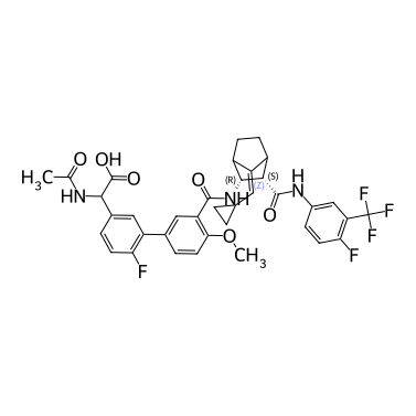 COc1ccc(-c2cc(C(NC(C)=O)C(=O)O)ccc2F)cc1C(=O)N[C@@H]1C2CCC(/C2=C/C2CC2)[C@@H]1C(=O)Nc1ccc(F)c(C(F)(F)F)c1